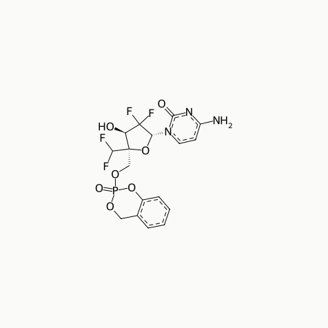 Nc1ccn([C@@H]2O[C@@](COP3(=O)OCc4ccccc4O3)(C(F)F)[C@@H](O)C2(F)F)c(=O)n1